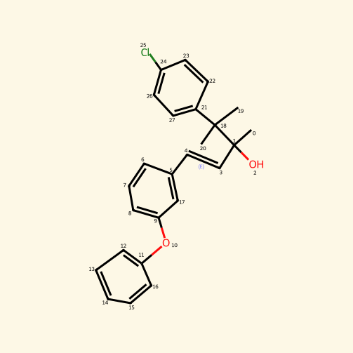 CC(O)(/C=C/c1cccc(Oc2ccccc2)c1)C(C)(C)c1ccc(Cl)cc1